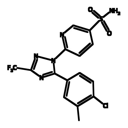 Cc1cc(-c2nc(C(F)(F)F)nn2-c2ccc(S(N)(=O)=O)cn2)ccc1Cl